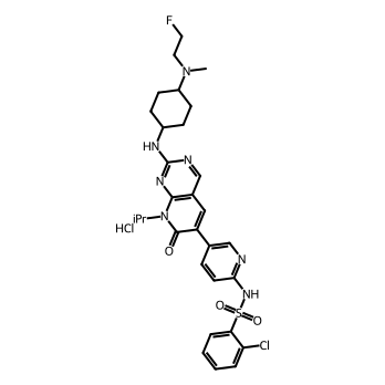 CC(C)n1c(=O)c(-c2ccc(NS(=O)(=O)c3ccccc3Cl)nc2)cc2cnc(NC3CCC(N(C)CCF)CC3)nc21.Cl